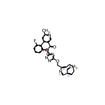 C=CC1=C\CCC/C=C(COc2nnc(NC(=O)c3cnc(C)cc3-c3c(F)cccc3OC)s2)/N=C\1